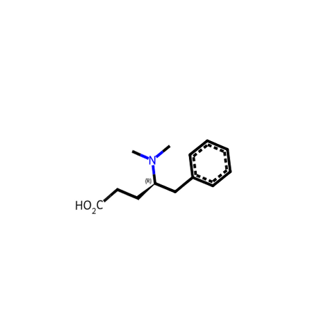 CN(C)[C@H](CCC(=O)O)Cc1ccccc1